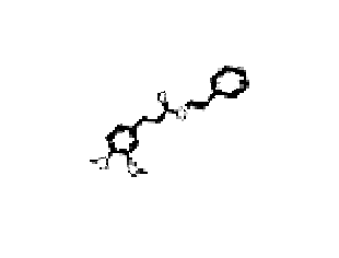 COc1ccc(CCC(=O)OC=Cc2ccccc2)cc1OC